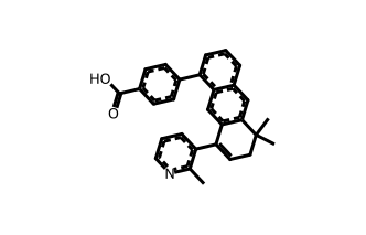 Cc1ncccc1C1=CCC(C)(C)c2cc3cccc(-c4ccc(C(=O)O)cc4)c3cc21